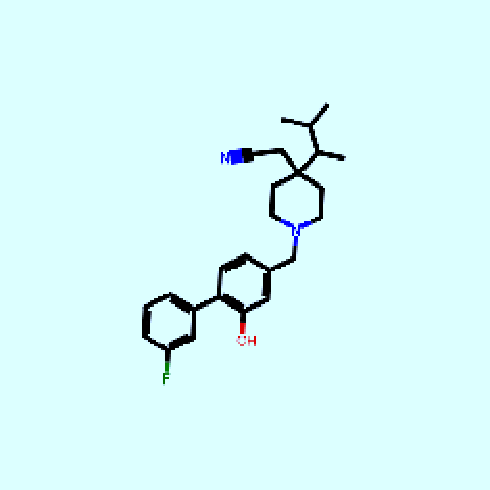 CC(C)C(C)C1(CC#N)CCN(Cc2ccc(-c3cccc(F)c3)c(O)c2)CC1